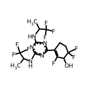 CC(Nc1nc(NC(C)C(F)(F)F)nc(C2=C(F)C(O)C(F)(F)CC2)n1)C(F)(F)F